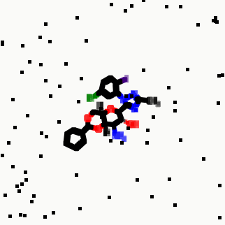 Cc1nc([C@@H]2O[C@@H]3COC(c4ccccc4)O[C@@H]3[C@H](N)[C@H]2O)n(-c2cc(Br)ccc2I)n1